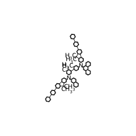 Cc1cc(-c2ccc(N(c3ccc4c(c3)C(C)(C)c3cc(-c5ccc(-c6ccccc6)cc5)ccc3-4)c3cc4ccccc4c4ccccc34)cc2C)cc(N(c2ccc3c(c2)C(C)(C)c2cc(-c4ccc(-c5ccccc5)cc4)ccc2-3)c2ccc3ccccc3c2)c1